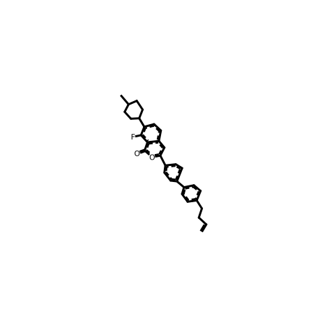 C=CCCc1ccc(-c2ccc(-c3cc4ccc(C5CCC(C)CC5)c(F)c4c(=O)o3)cc2)cc1